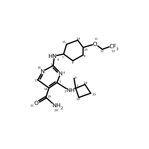 CC1(Nc2nc(NC3CCC(OCC(F)(F)F)CC3)ncc2C(N)=O)CCC1